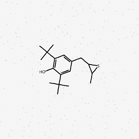 CC1SC1Cc1cc(C(C)(C)C)c(O)c(C(C)(C)C)c1